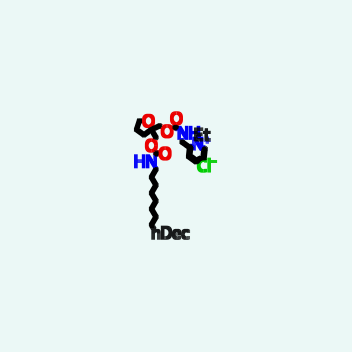 CCCCCCCCCCCCCCCCCCNC(=O)OCC1(COC(=O)NCc2cccc[n+]2CC)CCCO1.[Cl-]